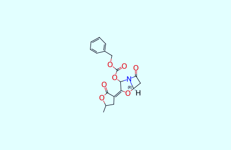 CC1CC(=C2O[C@@H]3CC(=O)N3C2OC(=O)OCc2ccccc2)C(=O)O1